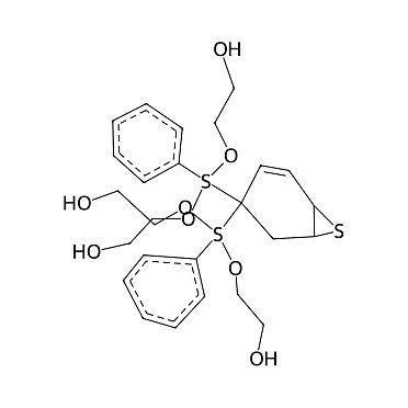 OCCOS(OCCO)(c1ccccc1)C1(S(OCCO)(OCCO)c2ccccc2)C=CC2SC2C1